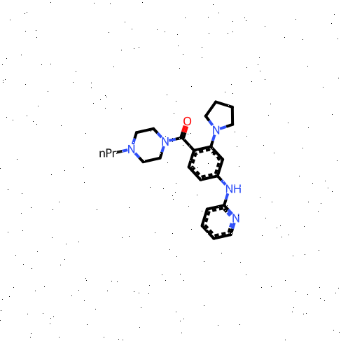 CCCN1CCN(C(=O)c2ccc(Nc3ccccn3)cc2N2CCCC2)CC1